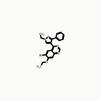 CCOc1cc2ncnc(-c3cn(CC)nc3-c3ccccc3)c2cc1Br